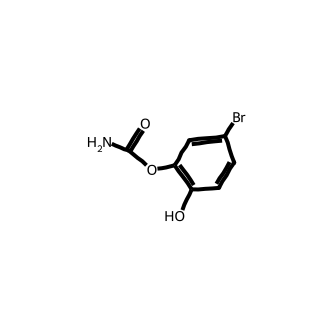 NC(=O)Oc1cc(Br)ccc1O